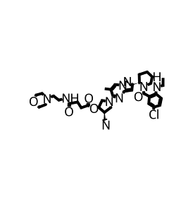 CCNc1ccc(Cl)cc1C(=O)N1CCCC[C@H]1c1cc2nc(N3C[C@@H](C#N)[C@@H](OC(=O)CCC(=O)NCCN4CCOCC4)C3)c(C)cn2n1